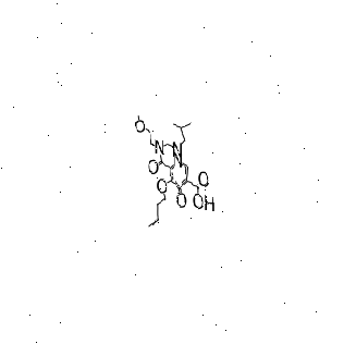 CCCCOc1c2n(cc(C(=O)O)c1=O)N(CC(C)C)CN(CCOC)C2=O